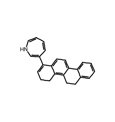 C1=CNC=C(C2=CCCc3c2ccc2c3CCc3ccccc3-2)C=C1